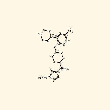 CC(=O)Nc1ccn(C(=O)N2CCN(Cc3ccc(C(F)(F)F)cc3N3CCOCC3)CC2)n1